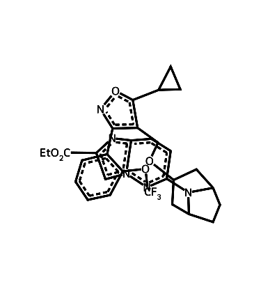 CCOC(=O)c1cn2nc(N3C4CCC3CC(OCc3c(-c5ccccc5OC(F)(F)F)noc3C3CC3)C4)ccc2n1